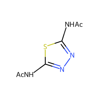 CC(=O)Nc1nnc(NC(C)=O)s1